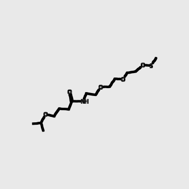 CSOCCOCCOCCNC(=O)CCCOC(C)C